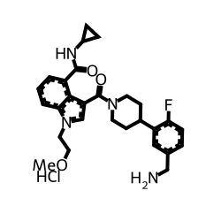 COCCn1cc(C(=O)N2CCC(c3cc(CN)ccc3F)CC2)c2c(C(=O)NC3CC3)cccc21.Cl